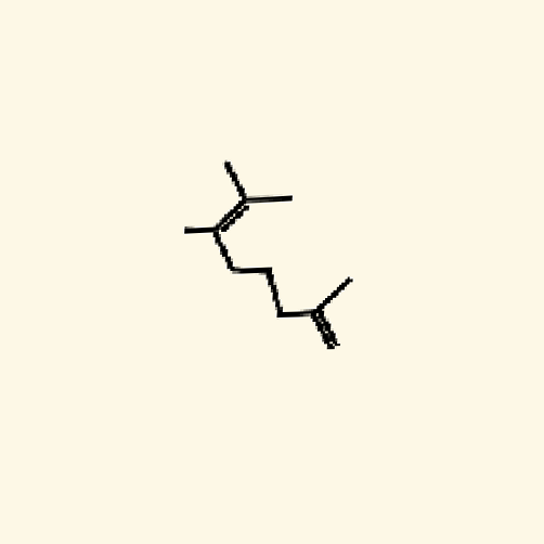 C=C(C)CCCC(C)=C(C)C